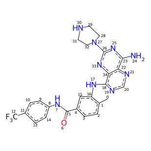 Cc1ccc(C(=O)Nc2ccc(C(F)(F)F)cc2)cc1Nc1ncnc2c(N)nc(N3CCNCC3)nc12